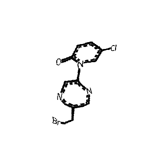 O=c1ccc(Cl)cn1-c1cnc(CBr)cn1